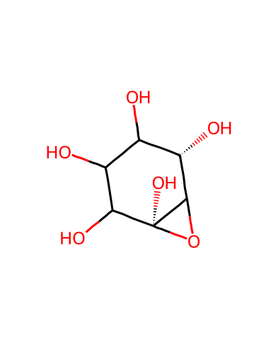 OC1C(O)[C@H](O)C2O[C@@]2(O)C1O